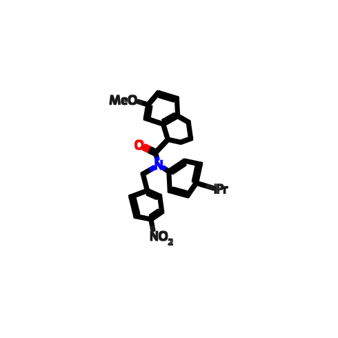 COc1ccc2c(c1)C(C(=O)N(Cc1ccc([N+](=O)[O-])cc1)c1ccc(C(C)C)cc1)CCC2